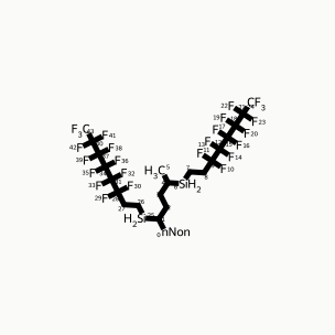 CCCCCCCCCC(CCC(C)[SiH2]CCC(F)(F)C(F)(F)C(F)(F)C(F)(F)C(F)(F)C(F)(F)F)[SiH2]CCC(F)(F)C(F)(F)C(F)(F)C(F)(F)C(F)(F)C(F)(F)F